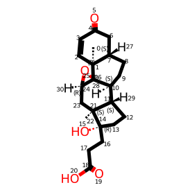 C[C@]12C=CC(=O)C[C@@H]1CC[C@H]1[C@@H]3CC[C@@](O)(CCC(=O)O)[C@@]3(C)C[C@H]3O[C@]312